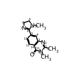 Cc1nc2cc(C3=NCCN3C)ccc2c(=O)n1C